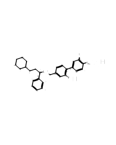 Cc1cc(COC(CCC2CCCCC2)c2ccccc2)ccc1-c1ccc(C(=O)O)c(F)c1